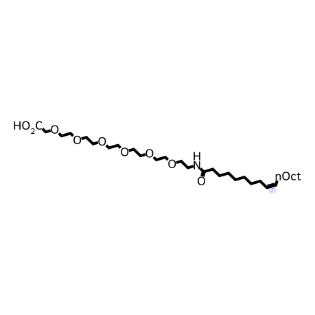 CCCCCCCC/C=C\CCCCCCCC(=O)NCCOCCOCCOCCOCCOCCOCC(=O)O